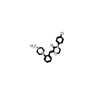 CN1CCN(c2ccccc2/C=C2\OCCN(c3ccc(Cl)cc3)C2=O)CC1